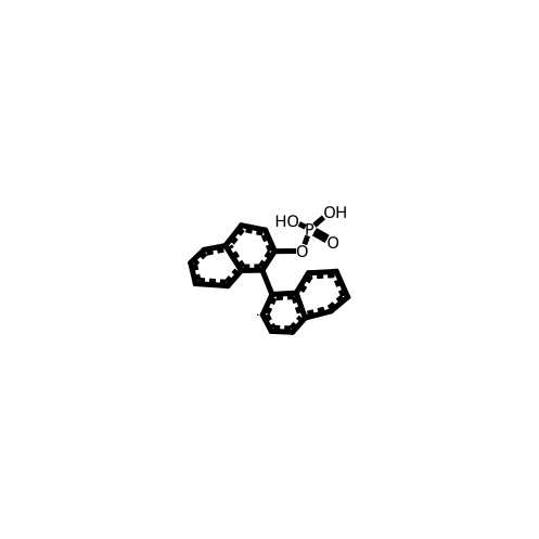 O=P(O)(O)Oc1ccc2ccccc2c1-c1[c]ccc2ccccc12